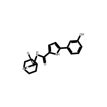 O=C(N[C@H]1CN2CCC1CC2)c1ccc(-c2cccc(O)c2)[nH]1